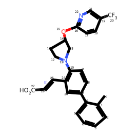 Cc1ccccc1-c1ccc(N2CCC(Oc3ccc(C(F)(F)F)cn3)C2)c(/C=C/C(=O)O)c1